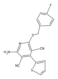 N#Cc1c(N)nc(SCc2ccc(F)cc2)c(C#N)c1-c1cccs1